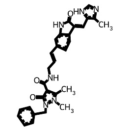 Cc1nc[nH]c1C=C1C(=O)Nc2cc(/C=C/CNC(=O)c3c(C)n(C)n(Cc4ccccc4)c3=O)ccc21